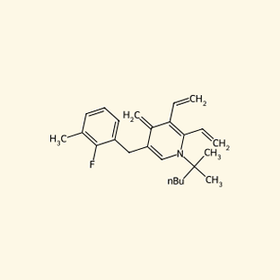 C=CC1=C(C=C)N(C(C)(C)CCCC)C=C(Cc2cccc(C)c2F)C1=C